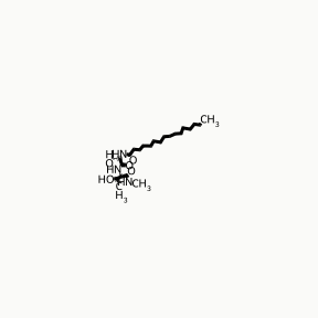 CCCCCCCCCCCCCCCC(=O)N[C@@H](CO)C(=O)N[C@H](C(=O)NC)[C@@H](C)O